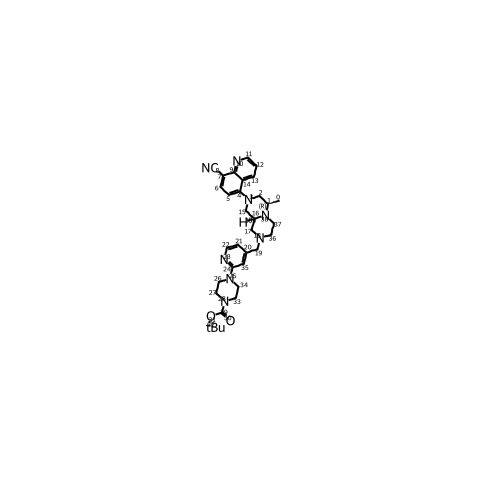 C[C@@H]1CN(c2ccc(C#N)c3ncccc23)C[C@H]2CN(Cc3ccnc(N4CCN(C(=O)OC(C)(C)C)CC4)c3)CCN21